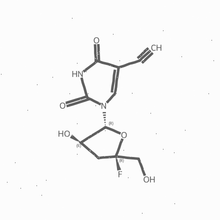 C#Cc1cn([C@@H]2O[C@](F)(CO)C[C@H]2O)c(=O)[nH]c1=O